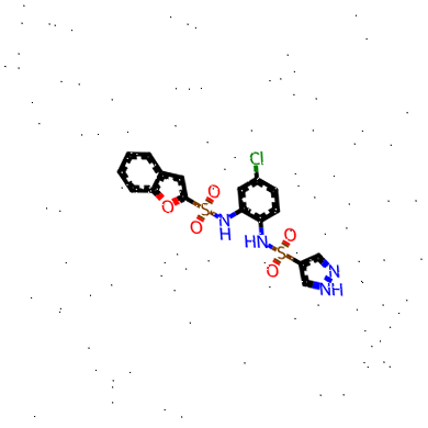 O=S(=O)(Nc1ccc(Cl)cc1NS(=O)(=O)c1cc2ccccc2o1)c1cn[nH]c1